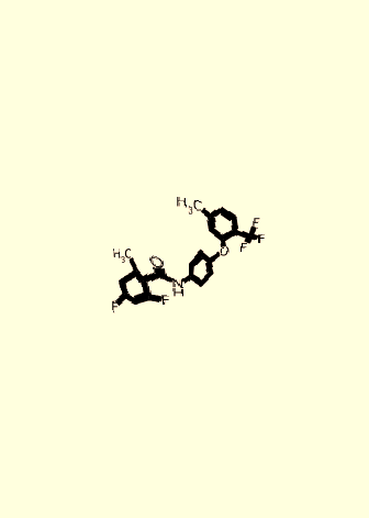 Cc1ccc(C(F)(F)F)c(Oc2ccc(NC(=O)c3c(C)cc(F)cc3F)cc2)c1